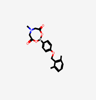 Cc1cccc(C)c1COc1ccc(B2OC(=O)CN(C)CC(=O)O2)cc1